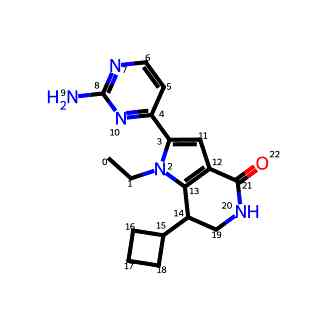 CCn1c(-c2ccnc(N)n2)cc2c1C(C1CCC1)CNC2=O